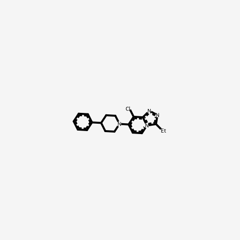 CCc1nnc2c(Cl)c(N3CCC(c4ccccc4)CC3)ccn12